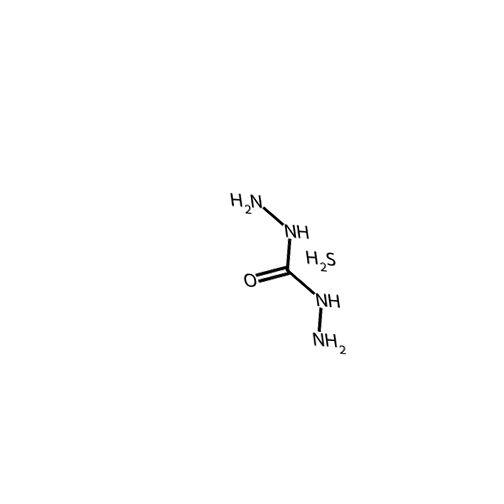 NNC(=O)NN.S